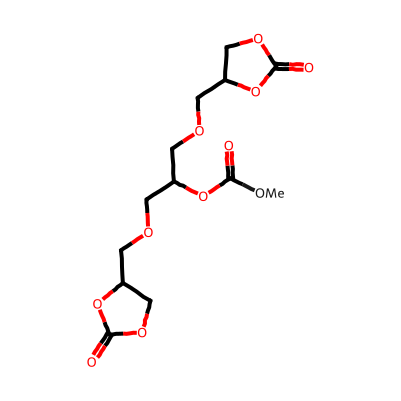 COC(=O)OC(COCC1COC(=O)O1)COCC1COC(=O)O1